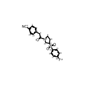 N#Cc1ccc(CC(=O)N2CCC(S(=O)(=O)c3ccc(F)cc3)C2)cc1